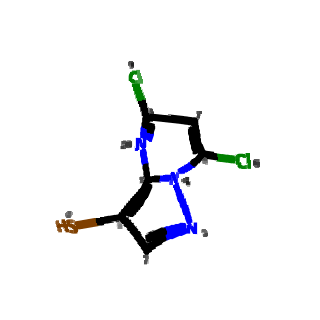 Sc1cnn2c(Cl)cc(Cl)nc12